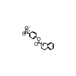 O=C(Oc1ccc([N+](=O)[O-])cc1)N1CCc2ccccc2C1